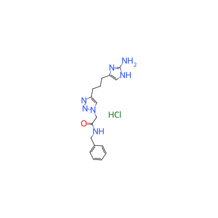 Cl.Nc1nc(CCCc2cn(CC(=O)NCc3ccccc3)nn2)c[nH]1